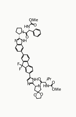 COC(=O)N[C@H](C(=O)N1CC2(C[C@H]1c1ncc(-c3ccc4c(c3)C(F)(F)c3cc(-c5ccc6nc([C@@H]7CCCN7C(=O)[C@H](NC(=O)OC)c7ccccc7)[nH]c6c5)ccc3-4)[nH]1)OCCO2)C(C)C